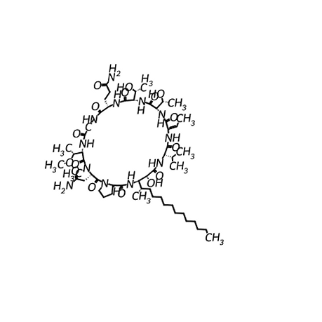 C/C=C1/NC(=O)[C@H](C(C)C)NC(=O)[C@H](O)[C@@H]([C@@H](C)CCCCCCCCCCCC)NC(=O)[C@@H]2CCCN2C(=O)[C@H](CC(N)=O)N(C)C(=O)[C@H]([C@@H](C)OC)NC(=O)CNC(=O)[C@H](CCC(N)=O)NC(=O)[C@H]([C@@H](C)O)NC(=O)[C@H]([C@@H](C)O)NC1=O